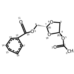 CC(=O)O[C@@H]1CO[C@@H](COC(=O)c2ccccc2)O1